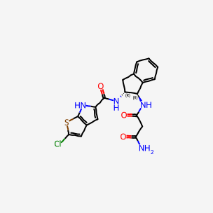 NC(=O)CC(=O)N[C@@H]1c2ccccc2C[C@H]1NC(=O)c1cc2cc(Cl)sc2[nH]1